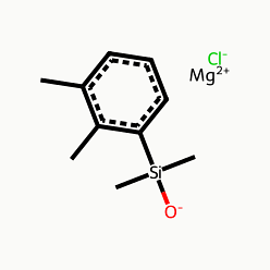 Cc1cccc([Si](C)(C)[O-])c1C.[Cl-].[Mg+2]